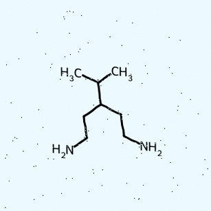 C[C](C)C(CCN)CCN